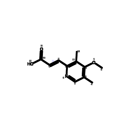 COc1c(C)cnc(/C=C/C(=O)O)c1C